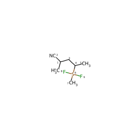 CC(C#N)CC(C)S(C)(F)F